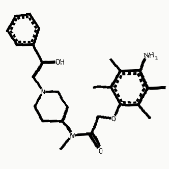 Cc1c(C)c(OCC(=O)N(C)C2CCN(CC(O)c3ccccc3)CC2)c(C)c(C)c1N